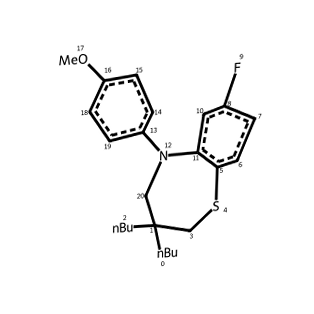 CCCCC1(CCCC)CSc2ccc(F)cc2N(c2ccc(OC)cc2)C1